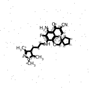 CC1=NN(C)C(C)C1CCCNc1c(F)c(N)c2c(=O)c(C#N)cn3c2c1OCC31CCCC1